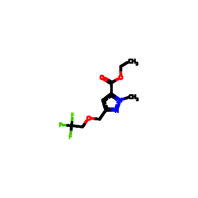 CCOC(=O)c1cc(COCC(F)(F)F)nn1C